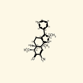 C[C@@H]1C(=O)C(C#N)=C[C@]2(C)c3nn(C)c(-c4cccnc4)c3CC[C@@H]12